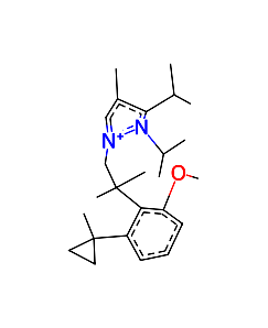 COc1cccc(C2(C)CC2)c1C(C)(C)C[n+]1cc(C)c(C(C)C)n1C(C)C